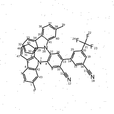 Cc1ccc2c3c(n(-c4cc(C#N)c(-c5cc(C#N)cc(C(F)(F)F)c5)cc4-n4c5ccccc5c5ccc(C)cc54)c2c1)CCC=C3